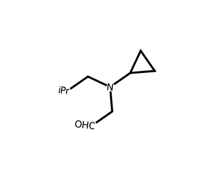 CC(C)CN(CC=O)C1CC1